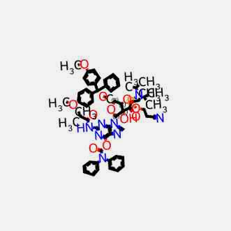 CCCC(=O)[C@@]1(O)[C@H](OP(OCCC#N)N(C(C)C)C(C)C)[C@@H](COC(c2ccccc2)(c2ccc(OC)cc2)c2ccc(OC)cc2)O[C@H]1n1cnc2c(OC(=O)N(c3ccccc3)c3ccccc3)nc(NC(=O)C(C)C)nc21